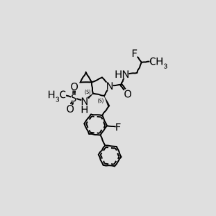 CC(F)CNC(=O)N1CC2(CC2)[C@H](NS(C)(=O)=O)[C@@H]1Cc1cccc(-c2ccccc2)c1F